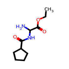 CCOC(=O)C(N)NC(=O)C1CCCC1